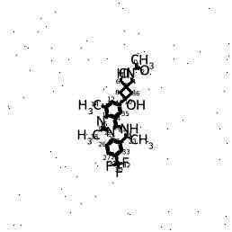 CC(=O)NCC1(CCl)CC(O)(c2cc(C)c3nc(C)nc(N[C@H](C)c4cccc(C(F)(F)F)c4)c3c2)C1